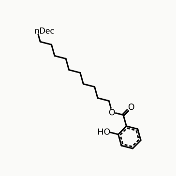 CCCCCCCCCCCCCCCCCCCCOC(=O)c1ccccc1O